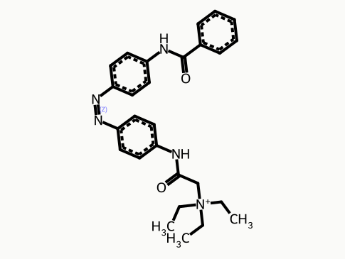 CC[N+](CC)(CC)CC(=O)Nc1ccc(/N=N\c2ccc(NC(=O)c3ccccc3)cc2)cc1